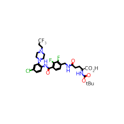 CC(C)(C)OC(=O)N[C@@H](CCC(=O)NCc1ccc(C(=O)Nc2ccc(Cl)cc2N2CCN(CCC(F)(F)F)CC2)c(F)c1F)C(=O)O